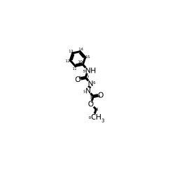 CCOC(=O)N=NC(=O)Nc1ccccc1